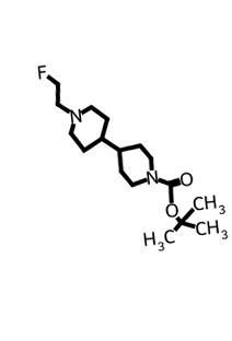 CC(C)(C)OC(=O)N1CCC(C2CCN(CCF)CC2)CC1